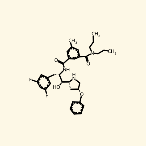 CCCN(CCC)C(=O)c1cc(C)cc(C(=O)N[C@@H](Cc2cc(F)cc(F)c2)[C@H](O)[C@H]2C[C@@H](Oc3ccccc3)CN2)c1